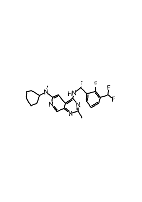 Cc1nc(N[C@H](C)c2cccc(C(F)F)c2F)c2cc(N(C)C3CCCCC3)ncc2n1